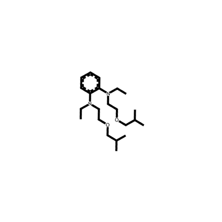 CCN(CCOCC(C)C)c1ccccc1N(CC)CCOCC(C)C